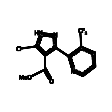 COC(=O)c1c(-c2ncccc2C(F)(F)F)n[nH]c1Cl